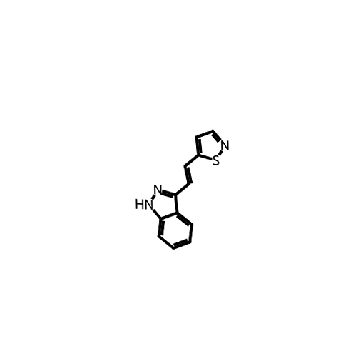 C(=Cc1n[nH]c2ccccc12)c1ccns1